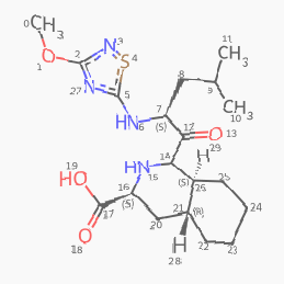 COc1nsc(N[C@@H](CC(C)C)C(=O)C2N[C@H](C(=O)O)C[C@H]3CCCC[C@H]23)n1